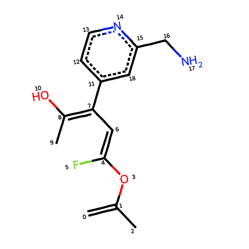 C=C(C)O/C(F)=C/C(=C(\C)O)c1ccnc(CN)c1